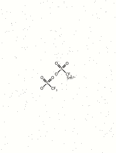 O=S(=O)([O-])C(F)(F)F.O=S(=O)([O-])C(F)(F)F.[Sm+2]